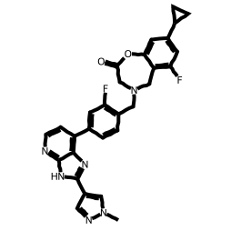 Cn1cc(-c2nc3c(-c4ccc(CN5CC(=O)Oc6cc(C7CC7)cc(F)c6C5)c(F)c4)ccnc3[nH]2)cn1